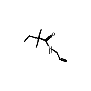 C=CCNC(=O)C(C)(C)CC